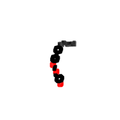 CCCCCC1CCC(c2ccc(OCCOCC3CCC4OC4C3)cc2)CC1